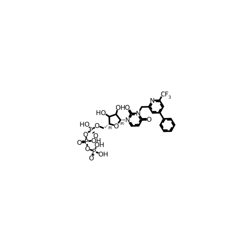 O=c1ccn([C@@H]2O[C@H](COP(=O)(O)OP(=O)(O)OP(=O)(O)O)C(O)C2O)c(=O)n1Cc1cc(-c2ccccc2)cc(C(F)(F)F)n1